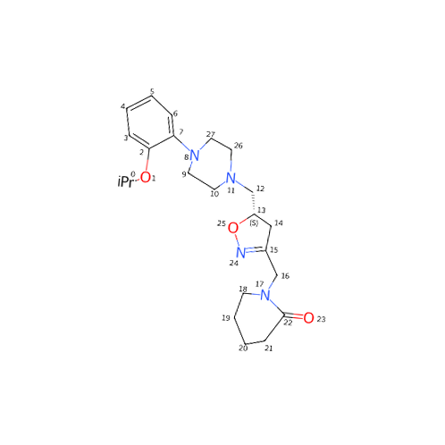 CC(C)Oc1ccccc1N1CCN(C[C@@H]2CC(CN3CCCCC3=O)=NO2)CC1